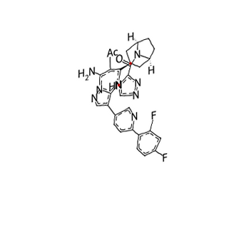 CC(=O)c1c([C@H]2C[C@H]3CC[C@@H](C2)N3C(=O)c2nnc[nH]2)nc2c(-c3ccc(-c4ccc(F)cc4F)nc3)cnn2c1N